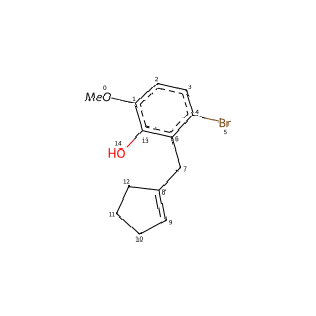 COc1ccc(Br)c(CC2=CCCC2)c1O